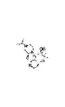 CC(=O)N1CCN([C@H]2c3cnccc3OC(C)(C)[C@@H]2O)C(=O)C1